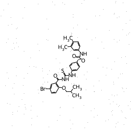 Cc1ccc(NS(=O)(=O)c2ccc(NC(=S)NC(=O)c3cc(Br)ccc3OCC(C)C)cc2)cc1C